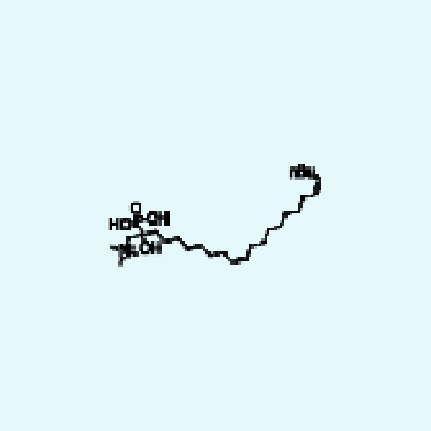 CCCC/C=C\CCCCCCC/C=C\CCCCCCCC(O)(C[N+](C)(C)C)P(=O)(O)O